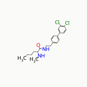 CCCCC(NC)C(=O)NCCc1ccc(-c2ccc(Cl)c(Cl)c2)cc1